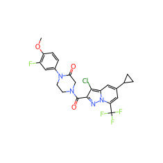 COc1ccc(N2CCN(C(=O)c3nn4c(C(F)(F)F)cc(C5CC5)cc4c3Cl)CC2=O)cc1F